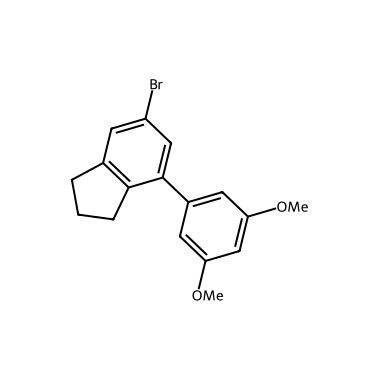 COc1cc(OC)cc(-c2cc(Br)cc3c2CCC3)c1